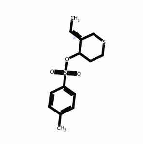 C/C=C1\CSCCC1OS(=O)(=O)c1ccc(C)cc1